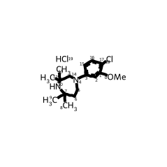 COc1cc(N2CCC(C)(C)NC(C)(C)C2)ccc1Cl.Cl